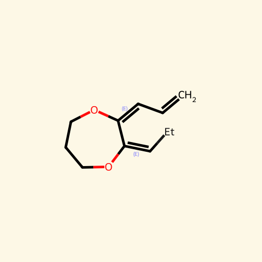 C=C/C=C1/OCCCO/C1=C/CC